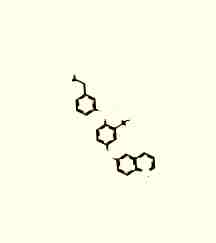 O=C(O)Cc1cccc(Oc2ccc(Oc3ccc4ncccc4c3)cc2C(F)(F)F)c1